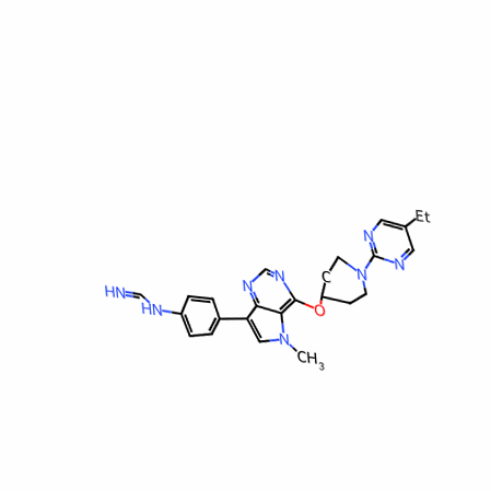 CCc1cnc(N2CCC(Oc3ncnc4c(-c5ccc(NC=N)cc5)cn(C)c34)CC2)nc1